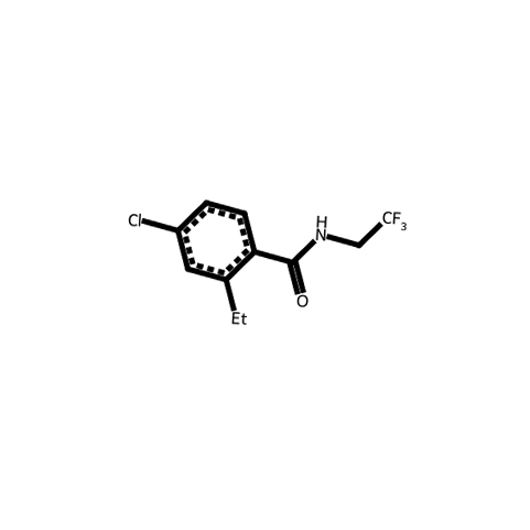 CCc1cc(Cl)ccc1C(=O)NCC(F)(F)F